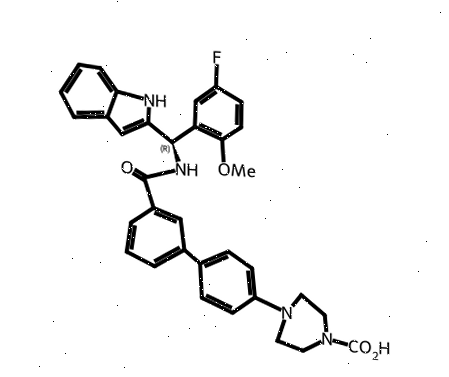 COc1ccc(F)cc1[C@@H](NC(=O)c1cccc(-c2ccc(N3CCN(C(=O)O)CC3)cc2)c1)c1cc2ccccc2[nH]1